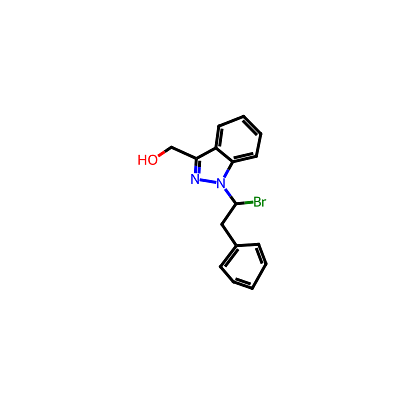 OCc1nn(C(Br)Cc2ccccc2)c2ccccc12